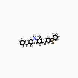 CN(c1ccc(Cc2ccccc2)cc1)c1ccc(Cc2ccc3c(c2)sc2ccccc23)cc1